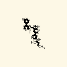 CCCC(O)Nc1cncc(-c2cnc3[nH]nc(-c4nc5c(-c6cccc(F)c6)ccnc5[nH]4)c3c2)c1